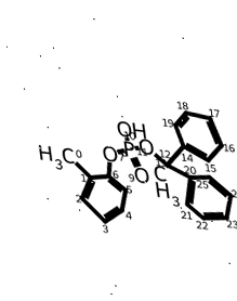 Cc1ccccc1OP(=O)(O)OC(C)(c1ccccc1)c1ccccc1